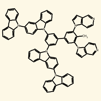 Cc1c(-n2ccc3cnccc32)cc(-c2cc(-n3c4ccccc4c4cc(-n5c6ccccc6c6ccccc65)ccc43)cc(-n3c4ccccc4c4cc(-n5c6ccccc6c6ccccc65)ccc43)c2)cc1-n1ccc2cnccc21